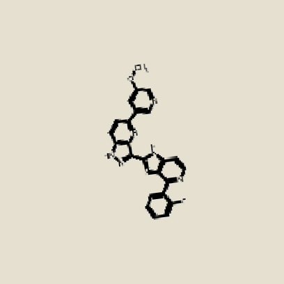 COc1cncc(-c2ccc3[nH]nc(-c4nc5c(-c6ccccc6F)nccc5[nH]4)c3n2)c1